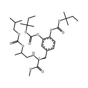 CCC(C)(C)OC(=O)Oc1ccc(C[C@H](NCC(C)OC(=O)OCC(C)C)C(=O)OC)cc1OC(=O)OC(C)(C)CC